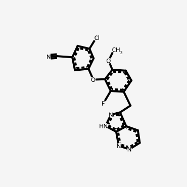 COc1ccc(Cc2n[nH]c3nnccc23)c(F)c1Oc1cc(Cl)cc(C#N)c1